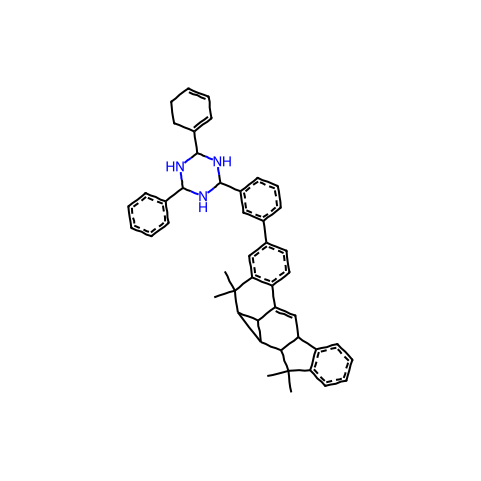 CC1(C)c2ccccc2C2C=C3c4ccc(-c5cccc(C6NC(C7=CC=CCC7)NC(c7ccccc7)N6)c5)cc4C(C)(C)C4C3C4C21